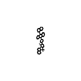 CC1(C)c2ccc3c(sc4cc(-c5c6ccccc6c(-c6cccc7ccccc67)c6ccccc56)ccc43)c2-c2ccc3ccccc3c21